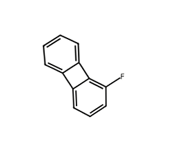 Fc1cccc2c1-c1ccccc1-2